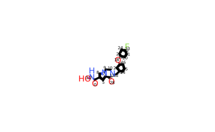 O=C(NO)c1cc2n(c1)CCN(Cc1cccc(Oc3ccc(F)cc3)c1)C2=O